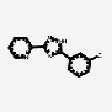 Clc1cccc(-c2nc(-c3ccccn3)n[nH]2)c1